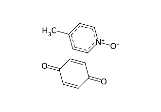 Cc1cc[n+]([O-])cc1.O=C1C=CC(=O)C=C1